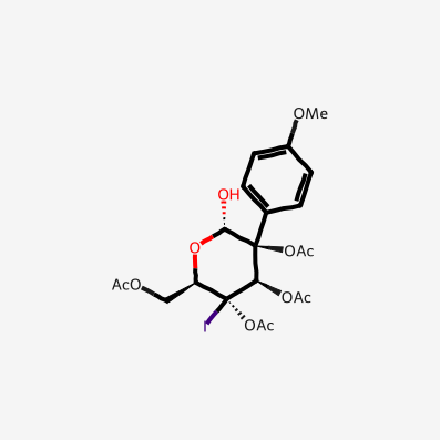 COc1ccc([C@@]2(OC(C)=O)[C@@H](O)O[C@H](COC(C)=O)[C@@](I)(OC(C)=O)[C@@H]2OC(C)=O)cc1